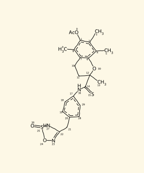 CC(=O)Oc1c(C)c(C)c2c(c1C)CCC(C)(C(=S)Nc1ccc(CC3=NOS(=O)N3)cc1)O2